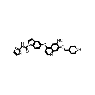 [C-]#[N+]c1cc2c(Oc3ccc4c(ccn4C(=O)Nc4nccs4)c3)ccnc2cc1OCC1CCNCC1